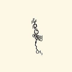 CCCCCC#CC(CS(=O)(=O)N1CCCN(c2ccc(C(F)(F)F)cn2)CC1)N(O)C=O